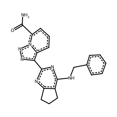 NC(=O)c1cccc2c(-c3nc4c(c(NCc5ccccc5)n3)CCC4)nnn12